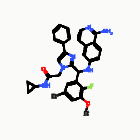 CCOc1cc(CC)cc(C(Nc2ccc3c(N)nccc3c2)c2nc(-c3ccccc3)cn2CC(=O)NC2CC2)c1F